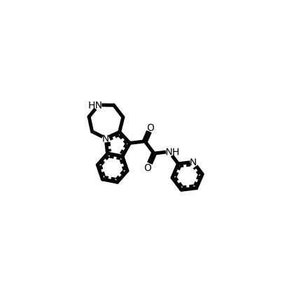 O=C(Nc1ccccn1)C(=O)c1c2n(c3ccccc13)CCNCC2